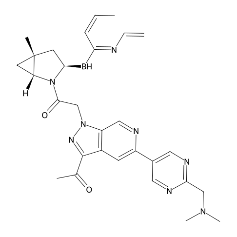 C=C/N=C(B[C@@H]1C[C@@]2(C)C[C@H]2N1C(=O)Cn1nc(C(C)=O)c2cc(-c3cnc(CN(C)C)nc3)ncc21)\C=C/C